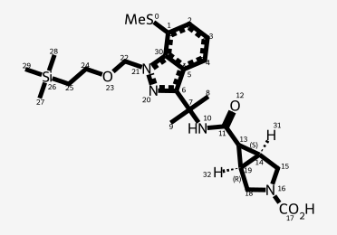 CSc1cccc2c(C(C)(C)NC(=O)C3[C@H]4CN(C(=O)O)C[C@@H]34)nn(COCC[Si](C)(C)C)c12